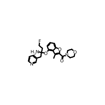 Cc1c(C(=O)N2CCOCC2)oc2cccc(OC(N)(CCF)Cc3cccnc3)c12